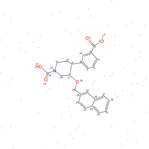 COC(=O)c1cccc(C2CCN(C(=O)O)CC2OCc2ccc3ccccc3c2)c1